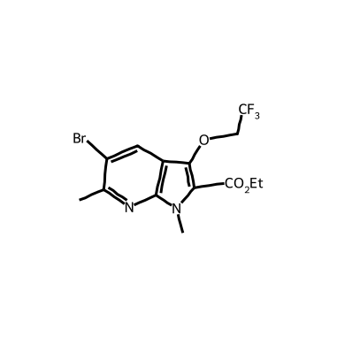 CCOC(=O)c1c(OCC(F)(F)F)c2cc(Br)c(C)nc2n1C